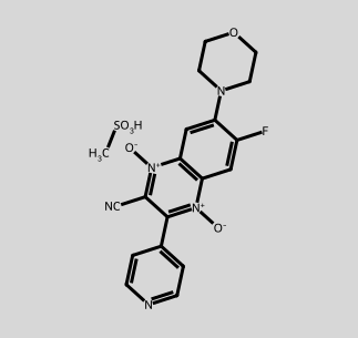 CS(=O)(=O)O.N#Cc1c(-c2ccncc2)[n+]([O-])c2cc(F)c(N3CCOCC3)cc2[n+]1[O-]